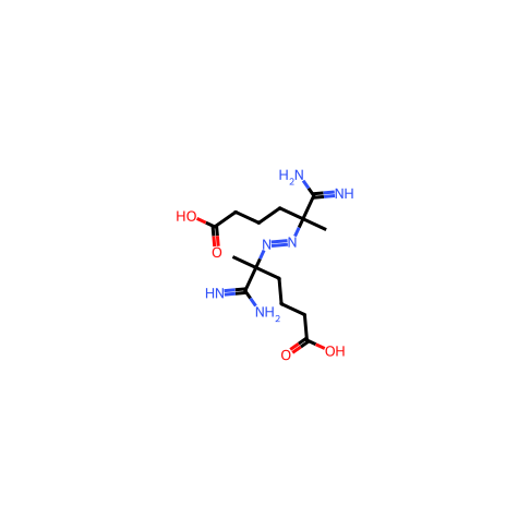 CC(CCCC(=O)O)(N=NC(C)(CCCC(=O)O)C(=N)N)C(=N)N